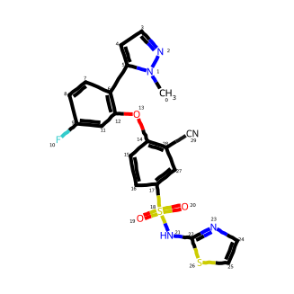 Cn1nccc1-c1ccc(F)cc1Oc1ccc(S(=O)(=O)Nc2nccs2)cc1C#N